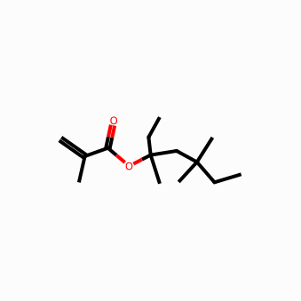 C=C(C)C(=O)OC(C)(CC)CC(C)(C)CC